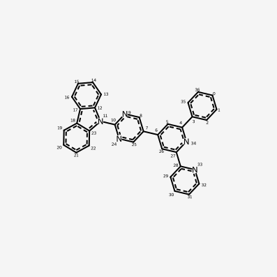 c1ccc(-c2cc(-c3cnc(-n4c5ccccc5c5ccccc54)nc3)cc(-c3ccccn3)n2)cc1